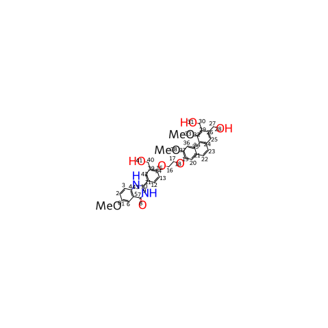 COc1ccc2c(c1)C(=O)NC(c1ccc(OCCOc3cc(/C=C\c4cc(CO)c(CO)c(OC)c4)ccc3OC)c(CO)c1)N2